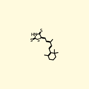 CC(C=CC1=C(C)CCCC1(C)C)=CC=C1SC(=S)NC1=S